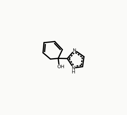 OC1(c2ncc[nH]2)C=CC=CC1